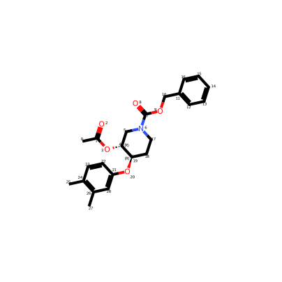 CC(=O)O[C@@H]1CN(C(=O)OCc2ccccc2)CC[C@H]1Oc1ccc(C)c(C)c1